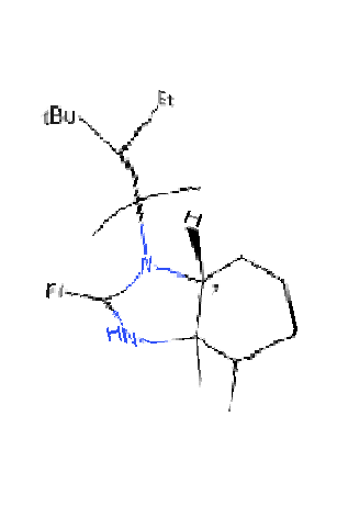 CCC1NC2(C)C(C)CCC[C@H]2N1C(C)(C)C(CC)C(C)(C)C